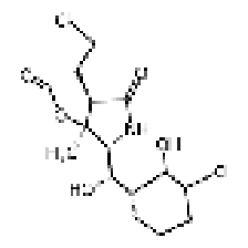 C[C@@]1(OC=O)[C@@H]([C@@H](O)[C@H]2CCCC(Cl)C2O)NC(=O)[C@@H]1CCCl